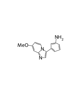 COc1ccn2c(-c3cccc(N)c3)cnc2c1